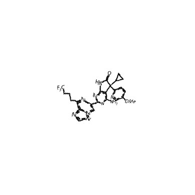 COc1ccc(C2(C3CC3)C(=O)Nc3nc(-c4cn5ncnc5c(CCCC(F)(F)F)n4)nc(N)c32)nc1